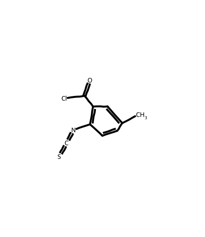 Cc1ccc(N=C=S)c(C(=O)Cl)c1